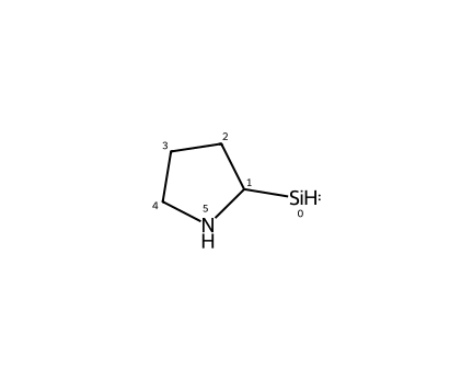 [SiH]C1CCCN1